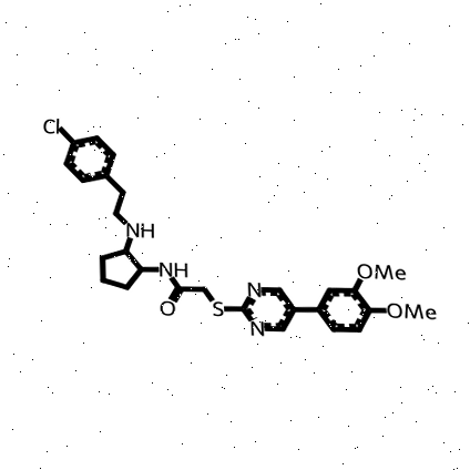 COc1ccc(-c2cnc(SCC(=O)NC3CCCC3NCCc3ccc(Cl)cc3)nc2)cc1OC